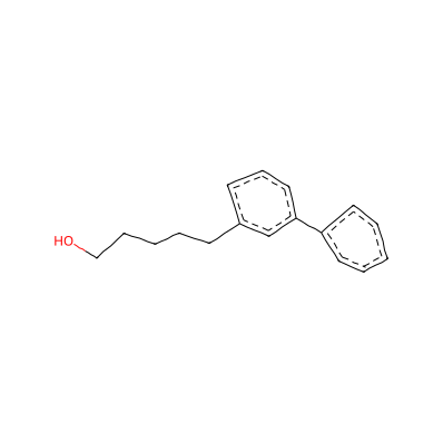 OCCCCCc1cccc(-c2ccccc2)c1